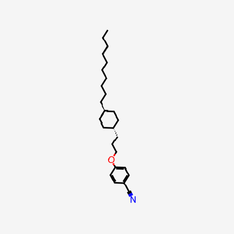 CCCCCCCCCC[C@H]1CC[C@H](CCCOc2ccc(C#N)cc2)CC1